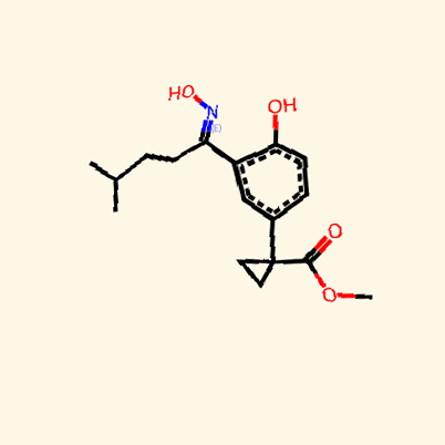 COC(=O)C1(c2ccc(O)c(/C(CCC(C)C)=N/O)c2)CC1